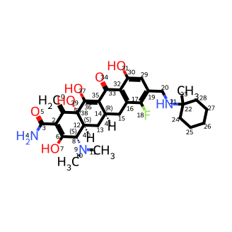 C=C1C(C(N)=O)=C(O)[C@@H](N(C)C)[C@@H]2C[C@@H]3Cc4c(F)c(CNC5(C)CCCCC5)cc(O)c4C(=O)C3=C(O)[C@]12O